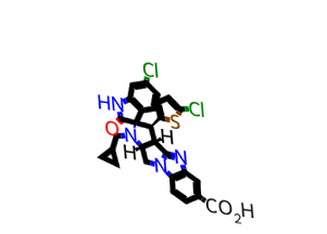 O=C(O)c1ccc2c(c1)nc1n2C[C@H]2[C@@H]1[C@H](c1ccc(Cl)s1)[C@]1(C(=O)Nc3cc(Cl)ccc31)N2CC1CC1